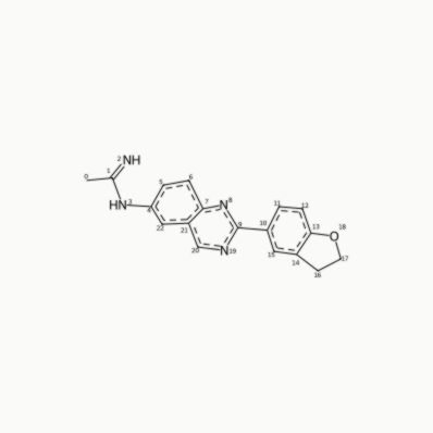 CC(=N)Nc1ccc2nc(-c3ccc4c(c3)CCO4)ncc2c1